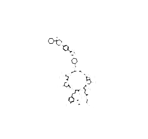 COC1(C2CCCCC2)CCN(c2ccc(-c3nnc([C@H]4CC[C@H](CN[C@H]5C[C@@H](O)CNC(=O)[C@@H]6[C@@H](O)[C@@H](C)CN6C(=O)[C@H]([C@H](O)CC(=O)NCCN)NC(=O)[C@H]([C@H](O)Cc6ccc(O)c(OS(=O)(=O)O)c6)NC(=O)[C@@H]6C[C@@H](O)CN6C(=O)[C@H]([C@@H](C)O)NC5=O)CC4)s3)cc2)CC1